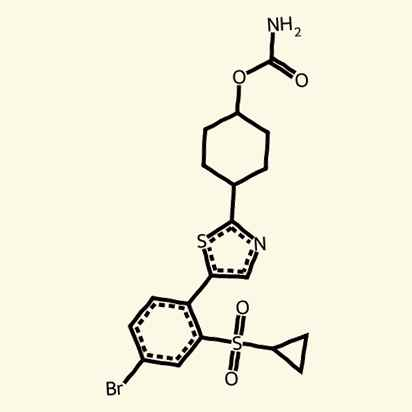 NC(=O)OC1CCC(c2ncc(-c3ccc(Br)cc3S(=O)(=O)C3CC3)s2)CC1